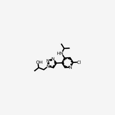 CC(O)Cn1cc(-c2cnc(Cl)cc2NC(C)C)nn1